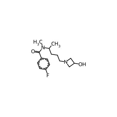 CC(CCCN1CC(O)C1)N(C)C(=O)c1ccc(F)cc1